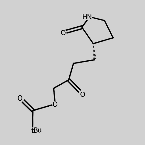 CC(C)(C)C(=O)OCC(=O)CC[C@H]1CCNC1=O